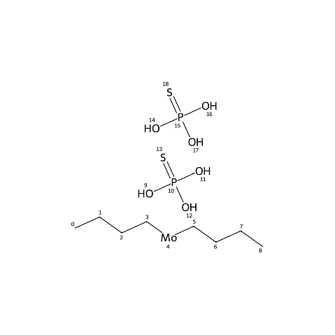 CCC[CH2][Mo][CH2]CCC.OP(O)(O)=S.OP(O)(O)=S